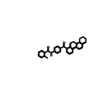 Cc1ccccc1C(=O)Nc1ccc(C(=O)c2cccc3c2=CCc2c4c(ccc2=3)=CCCC4)cc1